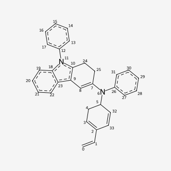 C=CC1=CCC(N(C2=Cc3c(n(-c4ccccc4)c4ccccc34)CC2)c2ccccc2)C=C1